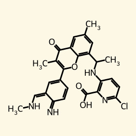 CN/C=C1/C=C(c2oc3c(C(C)Nc4ccc(Cl)nc4C(=O)O)cc(C)cc3c(=O)c2C)C=CC1=N